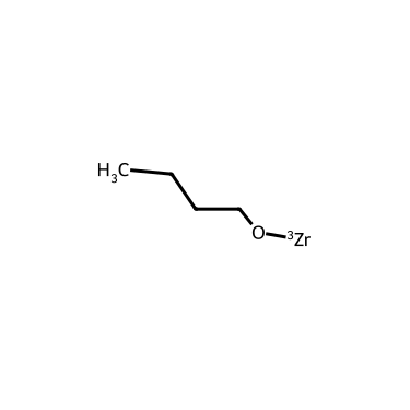 CCCC[O][3Zr]